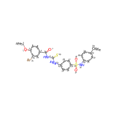 CCCCCCOc1ccc(C(=O)NC(=S)Nc2ccc(S(=O)(=O)Nc3ccc(OC)cc3)cc2)cc1Br